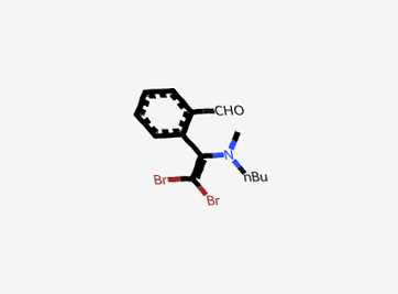 CCCCN(C)C(=C(Br)Br)c1ccccc1C=O